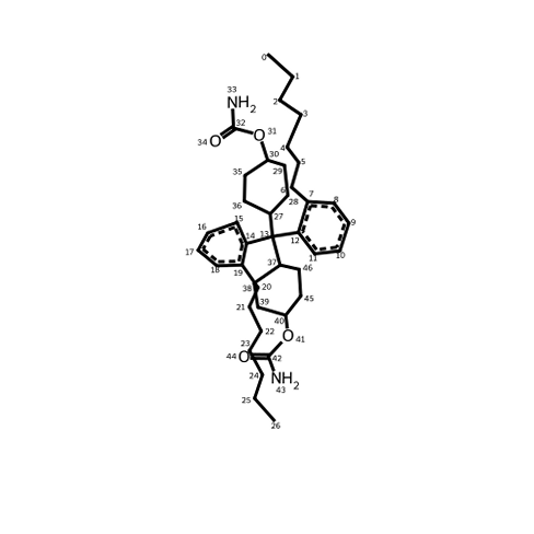 CCCCCCCc1ccccc1C(c1ccccc1CCCCCCC)(C1CCC(OC(N)=O)CC1)C1CCC(OC(N)=O)CC1